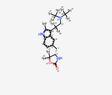 [2H]c1[nH]c2ccc(C[C@@H]3NC(=O)OC3([2H])[2H])cc2c1C([2H])([2H])CN(C([2H])([2H])[2H])C([2H])([2H])[2H]